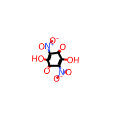 O=C1C(O)=C([N+](=O)[O-])C(=O)C(O)=C1[N+](=O)[O-]